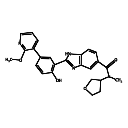 COc1ncccc1-c1ccc(O)c(-c2nc3cc(C(=O)N(C)C4CCOC4)ccc3[nH]2)c1